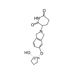 O=C1CCC(N2Cc3ccc(O[C@@H]4CCC[C@@H]4O)cc3C2)C(=O)N1